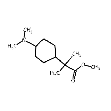 COC(=O)C(C)(C)C1CCC(N(C)C)CC1